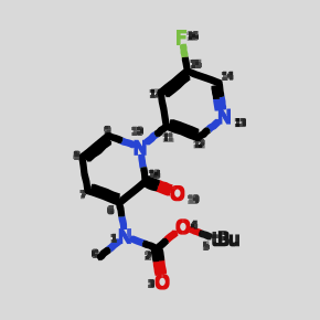 CN(C(=O)OC(C)(C)C)c1cccn(-c2cncc(F)c2)c1=O